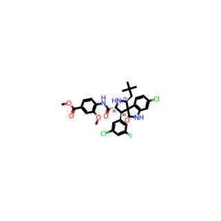 COC(=O)c1ccc(NC(=O)[C@@H]2N[C@@H](CC(C)(C)C)C3(C(=O)Nc4cc(Cl)ccc43)[C@H]2c2cc(F)cc(Cl)c2)c(OC)c1